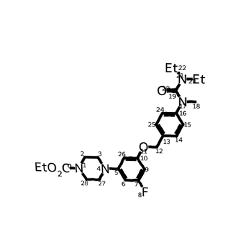 CCOC(=O)N1CCN(c2cc(F)cc(OCc3ccc(N(C)C(=O)N(CC)CC)cc3)c2)CC1